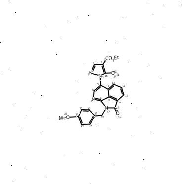 CCOC(=O)c1cnn(-c2cnc3c4c(cccc24)C(=O)N3Cc2ccc(OC)cc2)c1C(F)(F)F